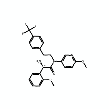 COc1ccc(N(CCc2ccc(C(F)(F)F)cc2)C(=O)[C@H](N)c2ccccc2OC)cn1